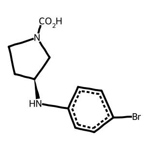 O=C(O)N1CC[C@H](Nc2ccc(Br)cc2)C1